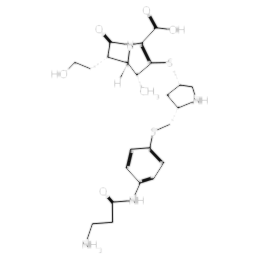 C[C@H]1C(S[C@@H]2CN[C@H](CSc3ccc(NC(=O)CCN)cc3)C2)=C(C(=O)O)N2C(=O)[C@@H](CCO)[C@@H]12